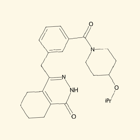 CC(C)OC1CCN(C(=O)c2cccc(Cc3n[nH]c(=O)c4c3CCCC4)c2)CC1